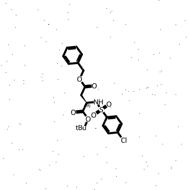 CC(C)(C)OC(=O)[C@@H](CC(=O)OCc1ccccc1)NS(=O)(=O)c1ccc(Cl)cc1